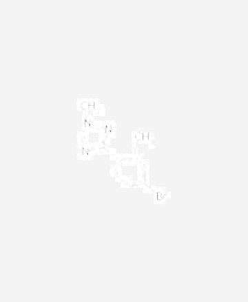 Cc1cc(Br)ccc1-c1ncn(C)n1